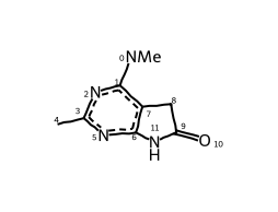 CNc1nc(C)nc2c1CC(=O)N2